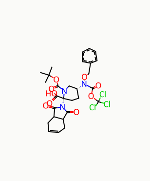 CC(C)(C)OC(=O)N1C[C@H](N(OCc2ccccc2)C(=O)OC(Cl)(Cl)Cl)CC[C@]1(C(=O)O)N1C(=O)C2CC=CCC2C1=O